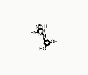 Oc1cc(O)cc(C=Nc2nc(S)c3nc[nH]c3n2)c1